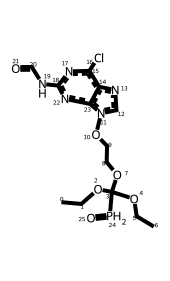 CCOC(OCC)(OCCOn1cnc2c(Cl)nc(NC=O)nc21)[PH2]=O